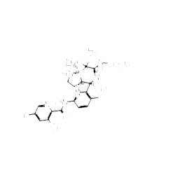 CC1(C)C(NC(=O)O)=N[C@](C)(c2nc(NC(=O)c3ncc(F)cc3Cl)ccc2F)[C@@H]2CCN[S@@]21O